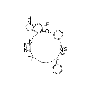 CC1(C)CCCCC(C)(c2ccccc2)c2csc(n2)-c2cccc(c2)Oc2c(F)cc3[nH]ccc3c2Cn2cc1nn2